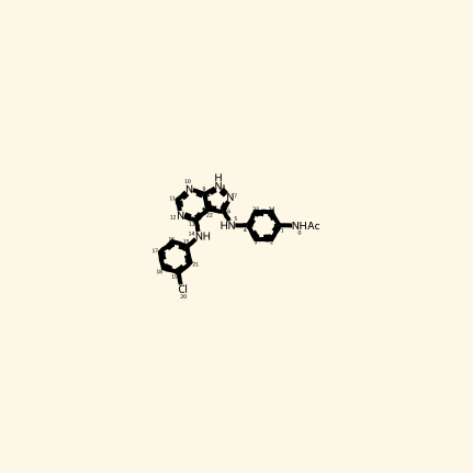 CC(=O)Nc1ccc(Nc2n[nH]c3ncnc(Nc4cccc(Cl)c4)c23)cc1